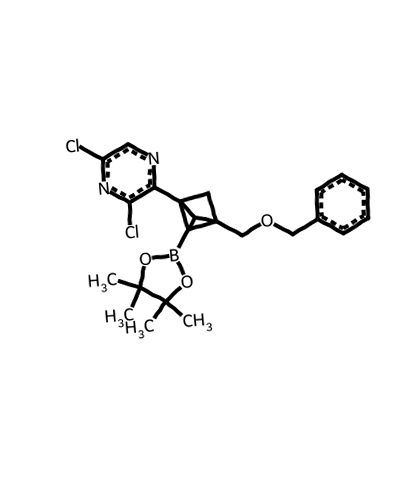 CC1(C)OB(C2C3(COCc4ccccc4)CC2(c2ncc(Cl)nc2Cl)C3)OC1(C)C